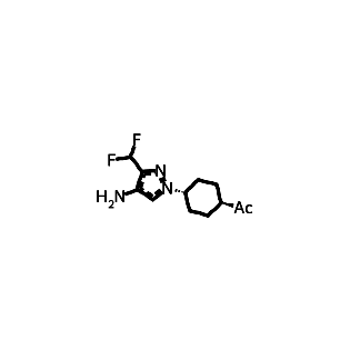 CC(=O)[C@H]1CC[C@H](n2cc(N)c(C(F)F)n2)CC1